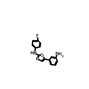 Nc1cccc(-c2cnc(Nc3ccc(F)cc3)o2)c1